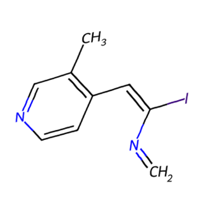 C=N/C(I)=C\c1ccncc1C